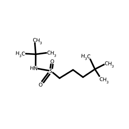 CC(C)(C)CCCS(=O)(=O)NC(C)(C)C